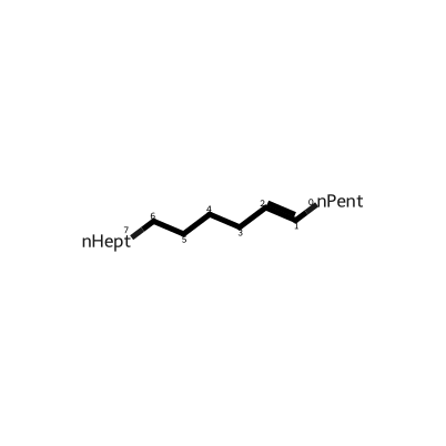 [CH2]CCCCC=CCCCCCCCCCC[CH2]